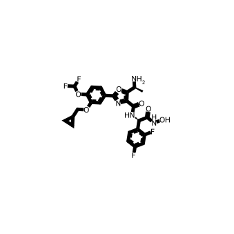 C[C@H](N)c1oc(-c2ccc(OC(F)F)c(OCC3CC3)c2)nc1C(=O)N[C@H](C(=O)NO)c1ccc(F)cc1F